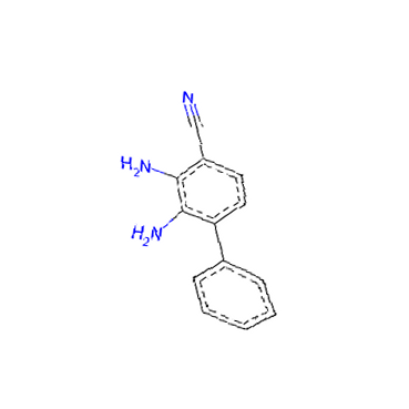 N#Cc1ccc(-c2ccccc2)c(N)c1N